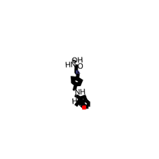 C[C@H]1C2CC3CC(C2)CC1(CNCc1ccc(/C=C/C(=O)NO)cc1)C3